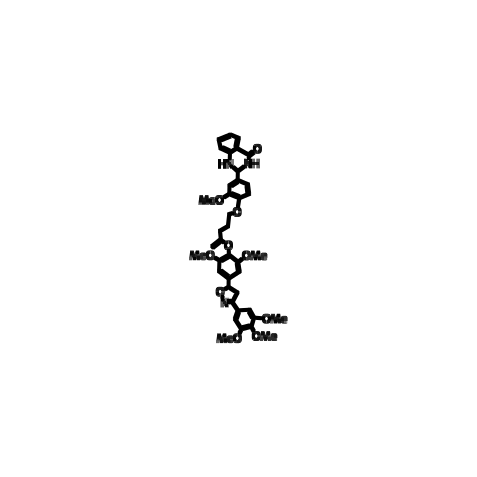 C=C(CCCOc1ccc(C2NC(=O)c3ccccc3N2)cc1OC)Oc1c(OC)cc(C2CC(c3cc(OC)c(OC)c(OC)c3)=NO2)cc1OC